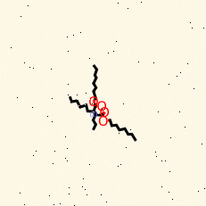 CCCCCCCCOC(=O)/C(CCC)=C(/CCCCCC)C(=O)OCCCCCCCC